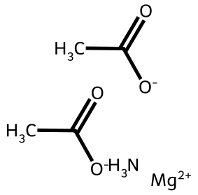 CC(=O)[O-].CC(=O)[O-].N.[Mg+2]